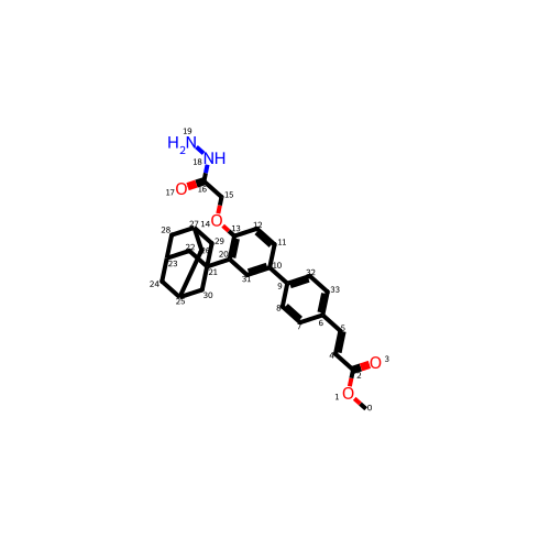 COC(=O)C=Cc1ccc(-c2ccc(OCC(=O)NN)c(C34CC5CC(CC(C5)C3)C4)c2)cc1